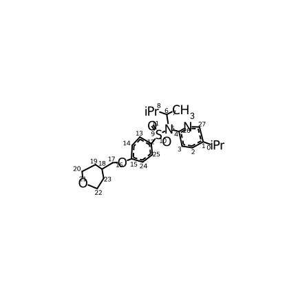 CC(C)c1ccc(N(C(C)C(C)C)S(=O)(=O)c2ccc(OCC3CCOCC3)cc2)nc1